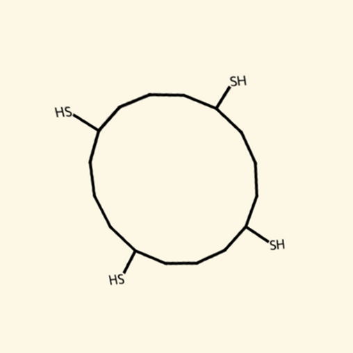 SC1CCCC(S)CCCC(S)CCCC(S)CCC1